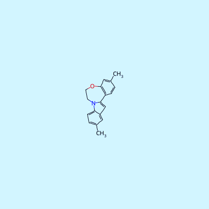 Cc1ccc2c(c1)OCCn1c-2cc2cc(C)ccc21